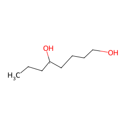 CCC[C](O)CCCCO